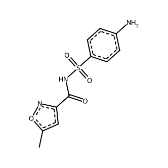 Cc1cc(C(=O)NS(=O)(=O)c2ccc(N)cc2)no1